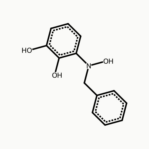 Oc1cccc(N(O)Cc2ccccc2)c1O